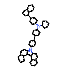 c1ccc(N(c2ccc(-c3ccc(-n4c5ccc6ccccc6c5c5c6ccccc6ccc54)cc3)cc2)c2ccc(-c3cccc4ccccc34)cc2)cc1